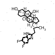 CC(CCc1nc2cc(F)c(F)cc2[nH]1)[C@H]1CC[C@H]2[C@@H]3[C@H](O)C[C@@H]4C[C@H](O)CC[C@]4(C)[C@H]3CC[C@]12C